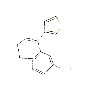 O=C(O)c1ccc2c(c1)C(c1ccsc1)=CCC2